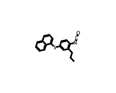 CCCc1cc(Sc2cccc3ccccc23)ccc1N=C=O